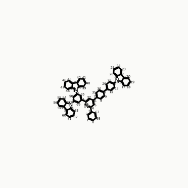 c1ccc(-c2cc(-c3ccc(-c4ccc(-n5c6ccccc6c6ccccc65)cc4)cc3)cc(-c3cc(-n4c5ccccc5c5ccccc54)cc(-n4c5ccccc5c5ccccc54)c3)n2)cc1